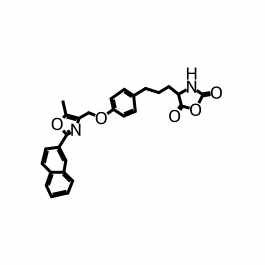 Cc1oc(-c2ccc3ccccc3c2)nc1COc1ccc(CCCC2NC(=O)OC2=O)cc1